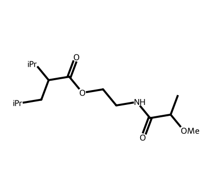 COC(C)C(=O)NCCOC(=O)C(CC(C)C)C(C)C